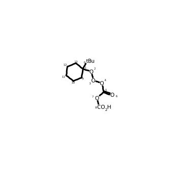 CC(C)(C)C1(OOOC(=O)OC(=O)O)CCCCC1